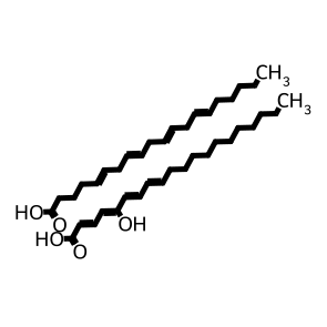 CCCCCC=CCC=CCC=CCC=CCCCC(=O)O.CCCCCCCCCCCC=CC=CC(O)=CC=CC(=O)O